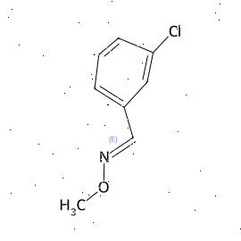 CO/N=C/c1c[c]cc(Cl)c1